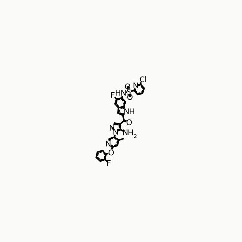 Cc1cc(Oc2ccccc2F)ncc1-n1ncc(C(=O)c2cc3cc(F)c(NS(=O)(=O)c4cccc(Cl)n4)cc3[nH]2)c1N